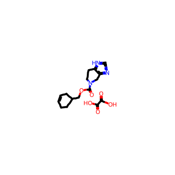 O=C(O)C(=O)O.O=C(OCC1CC=CCC1)N1CCc2[nH]cnc2C1